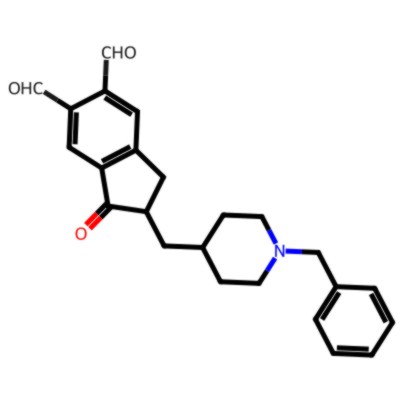 O=Cc1cc2c(cc1C=O)C(=O)C(CC1CCN(Cc3ccccc3)CC1)C2